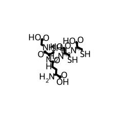 NC(CCC(=O)NC(CS)C(=O)NCC(=O)O)C(=O)O.N[C@@H](CS)C(=O)O.N[C@@H](CS)C(=O)O